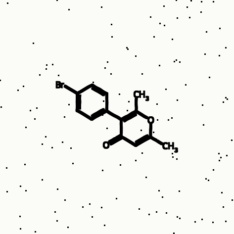 Cc1cc(=O)c(-c2ccc(Br)cc2)c(C)o1